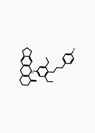 C=C1CCCC2=C1[C@H](c1cc(CC)c(CCCc3ccc(F)cc3)c(CC)c1)c1cc3c(cc1C2)CCC3